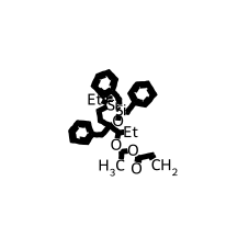 C=CC(=O)OC(C)OC(CC)C1(Cc2ccccc2)CC[Si](CC)(CC)[Si](Cc2ccccc2)(Cc2ccccc2)O1